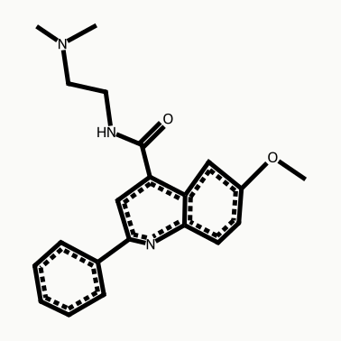 COc1ccc2nc(-c3ccccc3)cc(C(=O)NCCN(C)C)c2c1